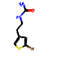 NC(=O)NCCc1csc(Br)c1